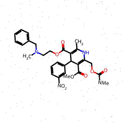 CNC(=O)OCC1=C(C(=O)OC)C(c2cccc([N+](=O)[O-])c2)C(C(=O)OCCN(C)Cc2ccccc2)=C(C)N1